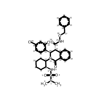 CN(C)S(=O)(=O)N[C@H]1CCCCC1N1C(=O)c2ccccc2[C@@H](C(=O)NOCc2ccccc2)[C@@H]1c1ccc(Cl)cc1Cl